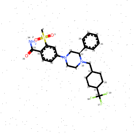 CS(=O)(=O)c1cc(N2CCN(CC3CCC(C(F)(F)F)CC3)[C@H](c3ccccc3)C2)ccc1C(N)=O